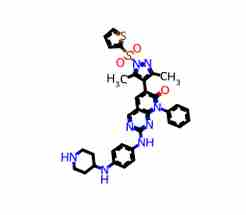 Cc1nn(S(=O)(=O)c2cccs2)c(C)c1-c1cc2cnc(Nc3ccc(NC4CCNCC4)cc3)nc2n(-c2ccccc2)c1=O